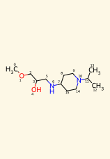 COCC(O)CNC1CCN(C(C)C)CC1